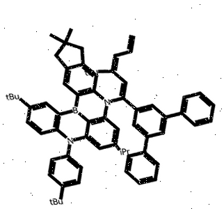 C=C/C=C(\C=C(\c1cc(-c2ccccc2)cc(-c2ccccc2)c1)N1c2cc3c(cc2B2c4cc(C(C)(C)C)ccc4N(c4ccc(C(C)(C)C)cc4)c4cc(C(C)C)cc1c42)CC(C)(C)C3)C(C)(C)C